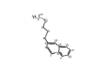 [CH2]SCCCc1ccc2ccccc2c1